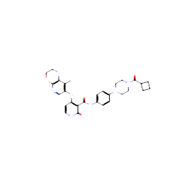 Cc1c(Nc2cc[nH]c(=O)c2C(=O)Nc2ccc(N3CCN(C(=O)C4CCC4)CC3)cc2)cnc2c1NCCO2